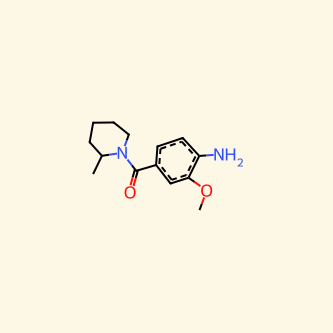 COc1cc(C(=O)N2CCCCC2C)ccc1N